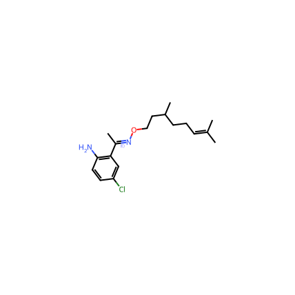 CC(C)=CCCC(C)CCO/N=C(\C)c1cc(Cl)ccc1N